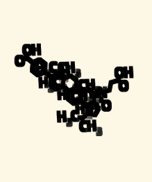 CC(C)[C@@H]1CC[C@]2(C(=O)NCCC(=O)O)CC[C@]3(C)[C@H](CC[C@@H]4[C@@]5(C)CC=C(c6ccc(C(=O)O)cc6)C(C)(C)[C@@H]5CC[C@]43C)[C@@H]12